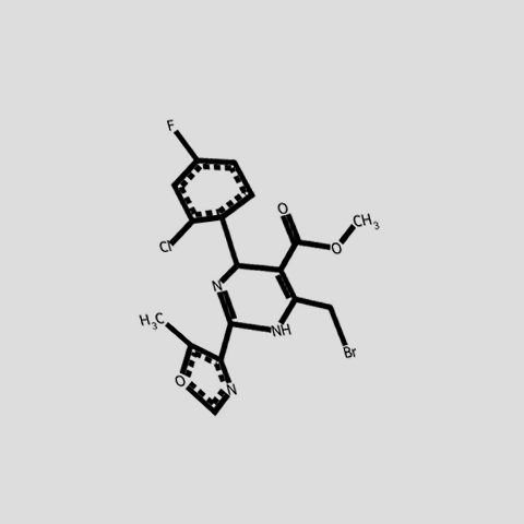 COC(=O)C1=C(CBr)NC(c2ncoc2C)=NC1c1ccc(F)cc1Cl